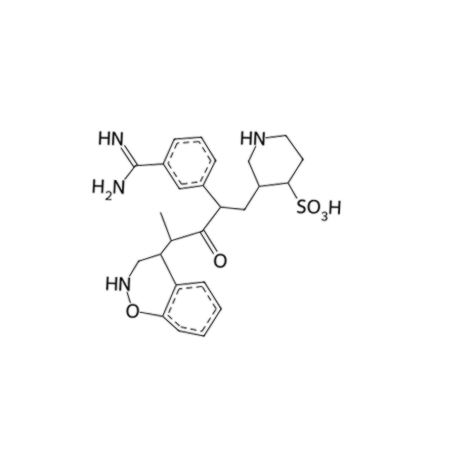 CC(C(=O)C(CC1CNCCC1S(=O)(=O)O)c1cccc(C(=N)N)c1)C1CNOc2ccccc21